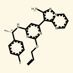 C=CCOc1nc(N[C@@H](C)c2ccc(F)cc2)cc(-c2c(N)nn3cccnc23)n1